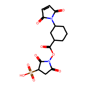 O=C(ON1C(=O)CC(S(=O)(=O)O)C1=O)C1CCCC(N2C(=O)C=CC2=O)C1